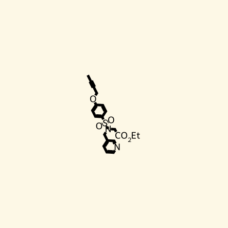 CC#CCOc1ccc(S(=O)(=O)N(CC(=O)OCC)Cc2cccnc2)cc1